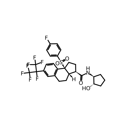 O=C(N[C@H]1CCC[C@@H]1O)[C@@H]1CC[C@@]2(S(=O)(=O)c3ccc(F)cc3)c3ccc(C(F)(C(F)(F)F)C(F)(F)F)cc3CC[C@@H]12